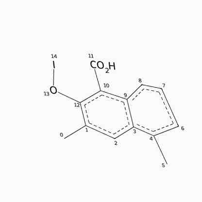 Cc1cc2c(C)cccc2c(C(=O)O)c1OI